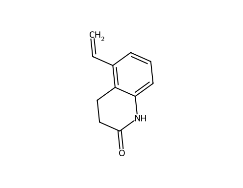 C=Cc1cccc2c1CCC(=O)N2